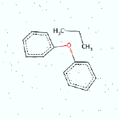 CCC.c1ccc(Oc2ccccc2)cc1